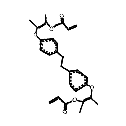 C=CC(=O)OC(C)=C(C)Oc1ccc(CCc2ccc(OC(C)=C(C)OC(=O)C=C)cc2)cc1